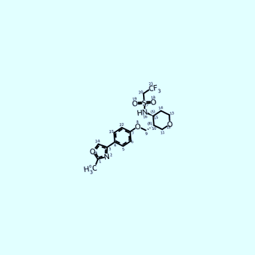 Cc1nc(-c2ccc(OC[C@H]3COCC[C@@H]3NS(=O)(=O)CC(F)(F)F)cc2)co1